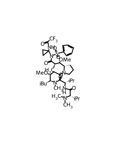 CC[C@H](C)[C@@H]([C@H](CC(=O)N1CCC[C@H]1[C@H](OC)[C@@H](C)C(=O)N(C1(NC(=O)C(F)(F)F)CC1)S(=O)(=O)c1ccccc1)OC)N(C)C(=O)[C@@H](NC(=O)[C@H](C(C)C)N(C)C)C(C)C